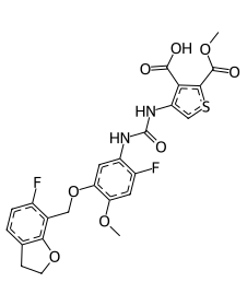 COC(=O)c1scc(NC(=O)Nc2cc(OCc3c(F)ccc4c3OCC4)c(OC)cc2F)c1C(=O)O